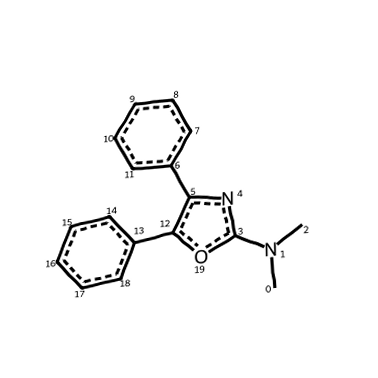 CN(C)c1nc(-c2ccccc2)c(-c2ccccc2)o1